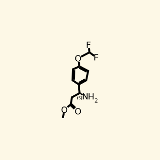 COC(=O)C[C@H](N)c1ccc(OC(F)F)cc1